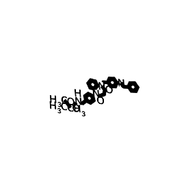 CC(C)(C)OC(=O)NCc1ccc(N2C(=O)CC(=O)N(Cc3ccc(N=Cc4ccccc4)cc3)c3ccccc32)cc1